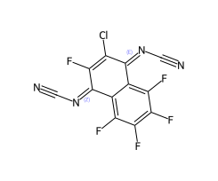 N#C/N=C1C(F)=C(Cl)/C(=N/C#N)c2c(F)c(F)c(F)c(F)c2\1